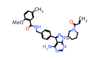 C=CC(=O)N1CCC[C@@H](n2nc(-c3ccc(CNC(=O)c4cc(C)ccc4OC)cc3)c3c(N)ncnc32)C1